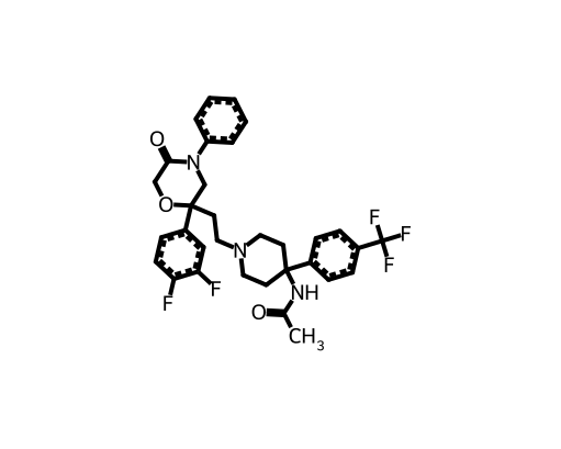 CC(=O)NC1(c2ccc(C(F)(F)F)cc2)CCN(CCC2(c3ccc(F)c(F)c3)CN(c3ccccc3)C(=O)CO2)CC1